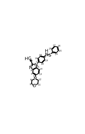 C#Cc1nc2cc(N3CCOCC3)ccc2n1-c1ccc(NSc2ccccc2)cc1